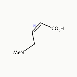 CNC/C=C\C(=O)O